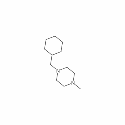 CN1CCN(CC2CCCCC2)CC1